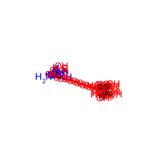 CC(C)[C@H](NC(=O)[C@H](CCC(=O)NCCOCCOCCOCCOCCOCCOCCOCCOCCOCCOCCOCCOCCC(=O)N(CCN(C[C@H](O)[C@@H](O)[C@H](O)[C@H](O)CO)C[C@H](O)[C@@H](O)[C@H](O)[C@H](O)CO)CCN(C[C@H](O)[C@@H](O)[C@H](O)[C@H](O)CO)C[C@H](O)[C@@H](O)[C@H](O)[C@H](O)CO)NC(=O)CCCCCN1C(=O)C=CC1=O)C(=O)N[C@@H](CCCNC(N)=O)C(=O)Nc1ccc(CO)cc1